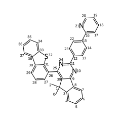 CC1(C)c2ccccc2-c2nc(-c3ccc(-c4ccccn4)cc3)nc(-c3cccc4c3sc3ccccc34)c21